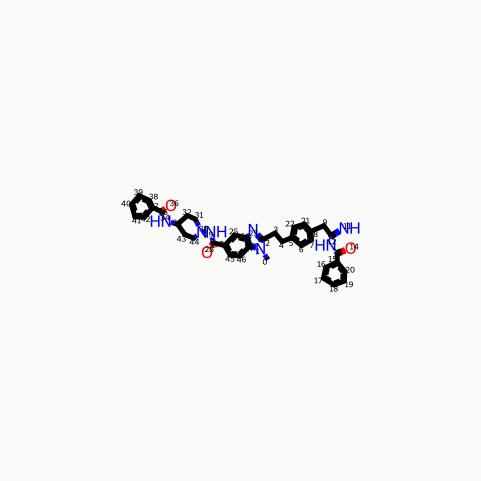 Cn1c(CCc2ccc(CC(=N)NC(=O)c3ccccc3)cc2)nc2cc(C(=O)NN3CCC(NC(=O)c4ccccc4)CC3)ccc21